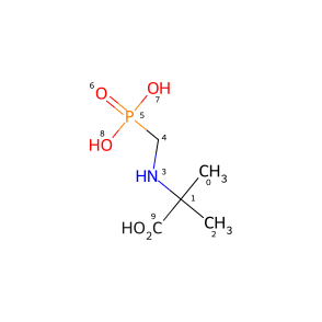 CC(C)(NCP(=O)(O)O)C(=O)O